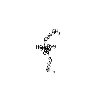 COCCOCCOCCOc1ccc(C#Cc2cc(CN3CCN(CC=O)Cc4cccc(n4)CN(Cc4cc(C#Cc5ccc(OCCOCCOCCOC)cc5)cc(C(=O)O)n4)CC3)nc(C(=O)O)c2)cc1